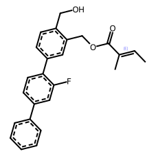 C/C=C(\C)C(=O)OCc1cc(-c2ccc(-c3ccccc3)cc2F)ccc1CO